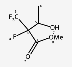 COC(=O)C(F)(C(C)O)C(F)(F)F